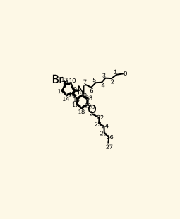 CCCCCCCCn1c2cc(Br)ccc2c2ccc(OCCCCCCC)cc21